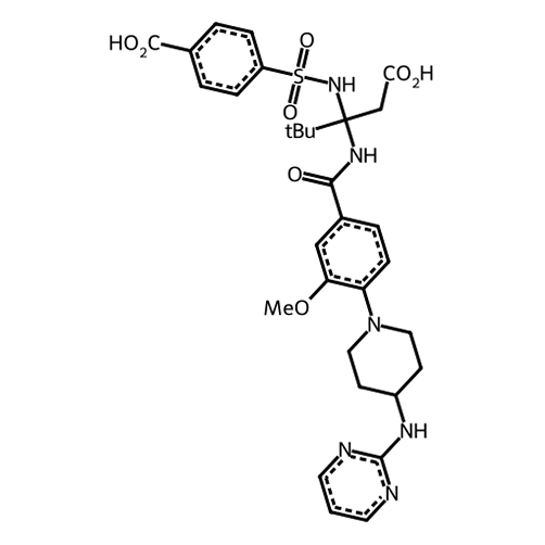 COc1cc(C(=O)NC(CC(=O)O)(NS(=O)(=O)c2ccc(C(=O)O)cc2)C(C)(C)C)ccc1N1CCC(Nc2ncccn2)CC1